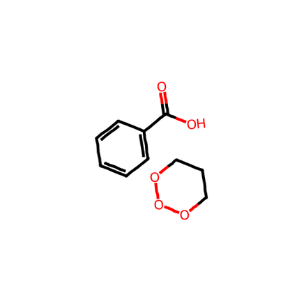 C1COOOC1.O=C(O)c1ccccc1